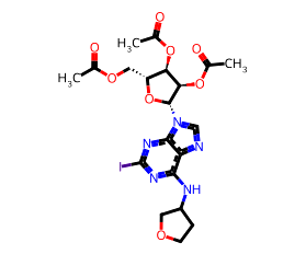 CC(=O)OC[C@H]1O[C@@H](n2cnc3c(NC4CCOC4)nc(I)nc32)[C@H](OC(C)=O)[C@@H]1OC(C)=O